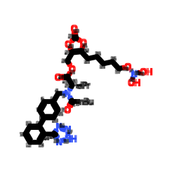 CCCCC(=O)N(Cc1ccc(-c2ccccc2-c2nn[nH]n2)cc1)[C@H](C(=O)OCc1oc(=O)oc1CCCCCON(O)O)C(C)C